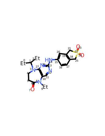 CCC(CC)N1CCC(=O)N(CC)c2cnc(Nc3ccc4c(c3)CS(=O)(=O)C4)nc21